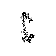 Cc1nc(NC(=O)c2ccccc2NCCCOCCOCCNC(=O)C[C@@H]2N=C(c3ccc(Cl)cc3)c3c(sc(C)c3C)-n3c(C)nnc32)sc1C